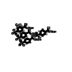 CCCCCCCCCC(CC)c1ccc(S(=O)(=O)[O-])cc1.CCCCCCCCCC(CC)c1ccc(S(=O)(=O)[O-])cc1.CCCCCCCCCC(CC)c1ccc(S(=O)(=O)[O-])cc1.CCCCCCCCCC(CC)c1ccc(S(=O)(=O)[O-])cc1.[Ca+2].[Ca+2]